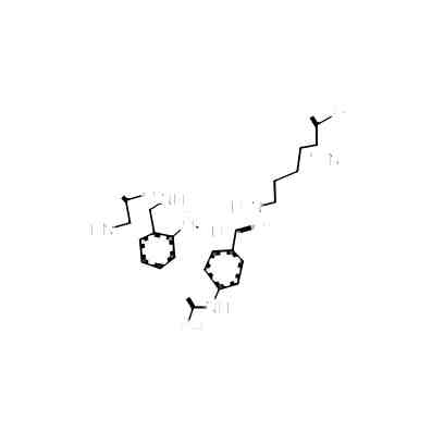 CC(=O)Nc1ccc(C=O)cc1.COc1ccccc1CN.NCC(=O)O.NCCCC[C@@H](N)C(=O)O